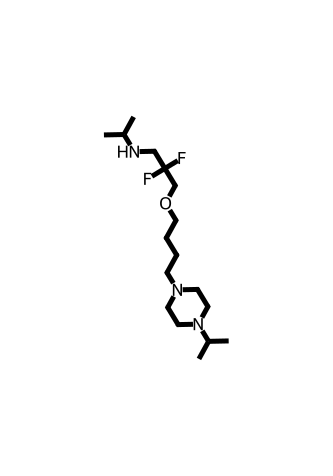 CC(C)NCC(F)(F)COCCCCN1CCN(C(C)C)CC1